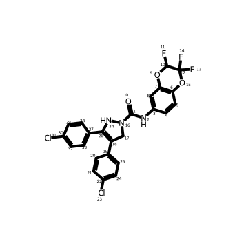 O=C(Nc1ccc2c(c1)OC(F)C(F)(F)O2)N1CC(c2ccc(Cl)cc2)=C(c2ccc(Cl)cc2)N1